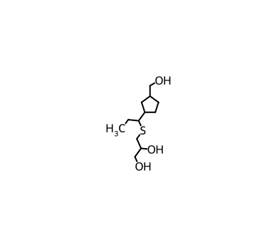 CCC(SCC(O)CO)C1CCC(CO)C1